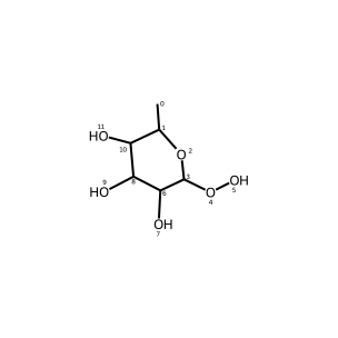 CC1OC(OO)C(O)C(O)C1O